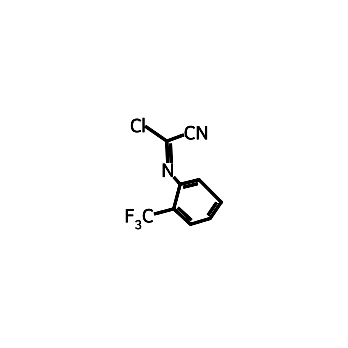 N#C/C(Cl)=N\c1ccccc1C(F)(F)F